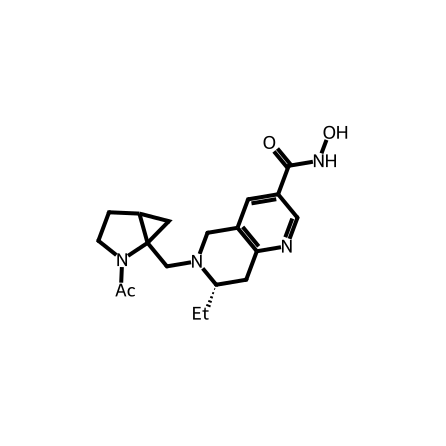 CC[C@H]1Cc2ncc(C(=O)NO)cc2CN1CC12CC1CCN2C(C)=O